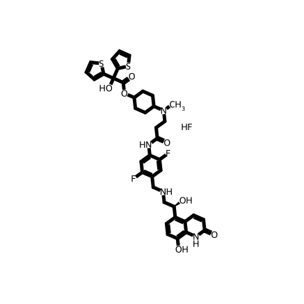 CN(CCC(=O)Nc1cc(F)c(CNC[C@@H](O)c2ccc(O)c3[nH]c(=O)ccc23)cc1F)C1CCC(OC(=O)C(O)(c2cccs2)c2cccs2)CC1.F